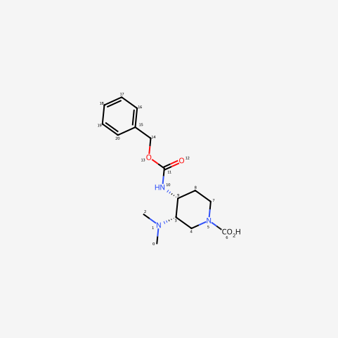 CN(C)[C@H]1CN(C(=O)O)CC[C@H]1NC(=O)OCc1ccccc1